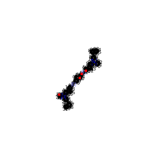 CC1(C)c2cc(/C=C/c3ccc4c(c3)C(C)(C)c3cc(N(C5=CCC(c6cccc7ccccc67)C=C5)c5ccccc5)ccc3-4)ccc2-c2ccc(/C=C/c3ccc4c(c3)C(C)(C)c3cc(N(c5ccccc5)c5ccc(-c6cccc7ccccc67)cc5)ccc3-4)cc21